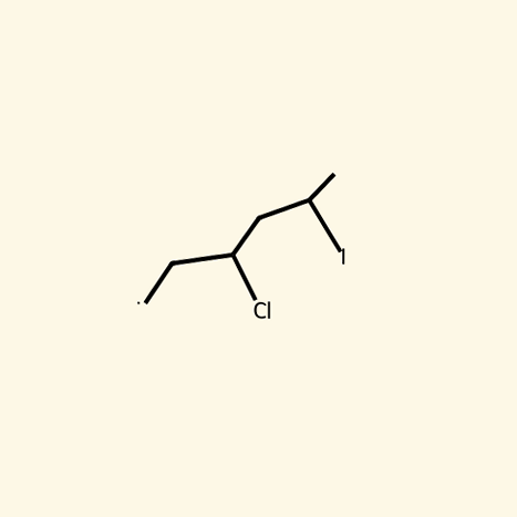 [CH2]CC(Cl)CC(C)I